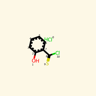 Cl.Oc1ccccc1C(=S)Cl